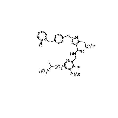 CC(S(=O)(=O)O)S(=O)(=O)O.COCc1nn(Cc2ccc(Cn3ccccc3=O)cc2)cc1C(=O)NCc1nccc(OC)c1F